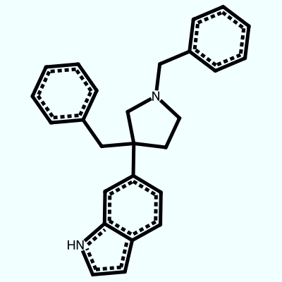 c1ccc(CN2CCC(Cc3ccccc3)(c3ccc4cc[nH]c4c3)C2)cc1